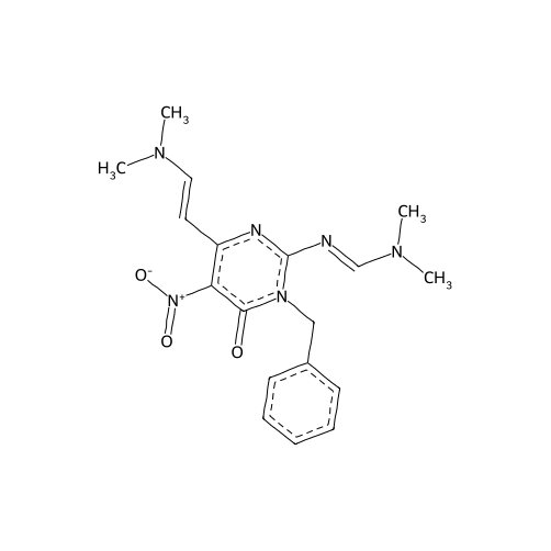 CN(C)/C=C/c1nc(/N=C/N(C)C)n(Cc2ccccc2)c(=O)c1[N+](=O)[O-]